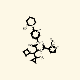 CC[C@@H]1CCCCN1c1ccc(NC(=O)[C@@H](NC(=O)c2ccnn2C)C(C2CCC2)C2(C)CC2)cn1